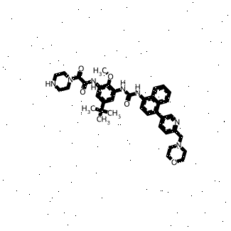 COc1c(NC(=O)Nc2ccc(-c3ccc(CN4CCOCC4)nc3)c3ccccc23)cc(C(C)(C)C)cc1NC(=O)C(=O)N1CCNCC1